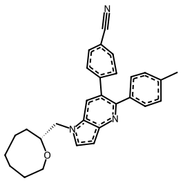 Cc1ccc(-c2nc3ccn(C[C@H]4CCCCCCO4)c3cc2-c2ccc(C#N)cc2)cc1